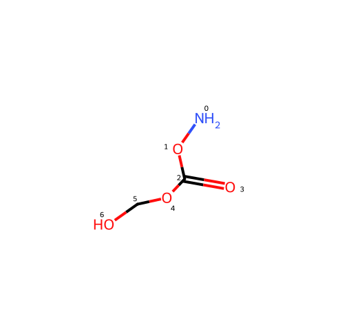 NOC(=O)OCO